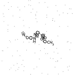 Cc1cccc(S(=O)(=O)n2cc(-c3cccc4nc(Nc5ccc(OCCN6CCCC6)cc5)nn34)cn2)c1